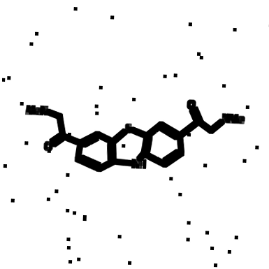 CNCC(=O)c1ccc2c(c1)Sc1cc(C(=O)CNC)ccc1N2